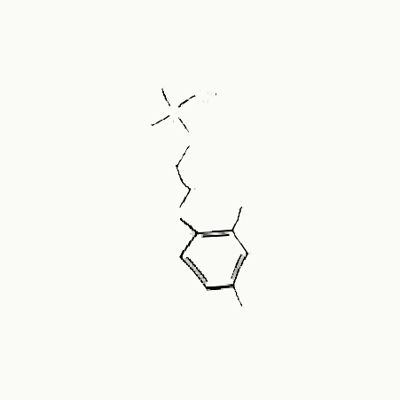 CCc1ccc(OCCO[Si](C)(C)C(C)(C)C)c(C)c1